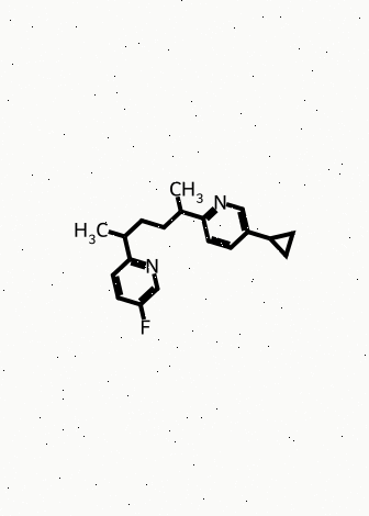 CC(CCC(C)c1ccc(C2CC2)cn1)c1ccc(F)cn1